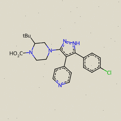 CC(C)(C)C1CN(c2n[nH]c(-c3ccc(Cl)cc3)c2-c2ccncc2)CCN1C(=O)O